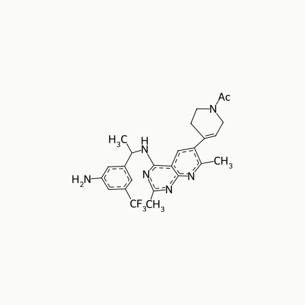 CC(=O)N1CC=C(c2cc3c(NC(C)c4cc(N)cc(C(F)(F)F)c4)nc(C)nc3nc2C)CC1